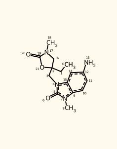 CCC1(Cn2c(=O)n(C)c3ccc(N)cc32)CN(C)C(=O)O1